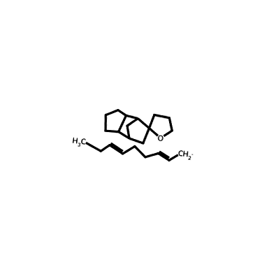 C1CC2C3CC(C2C1)C1(CCCO1)C3.[CH2]C=CCCC=CCC